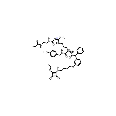 CCOc1c(NCCCCOc2cccc(C(C(=O)N[C@H](CCCN/C(N)=N\C(=O)NCCNC(=O)CC)C(=O)NCc3ccc(O)cc3)c3ccccc3)c2)c(=O)c1=O